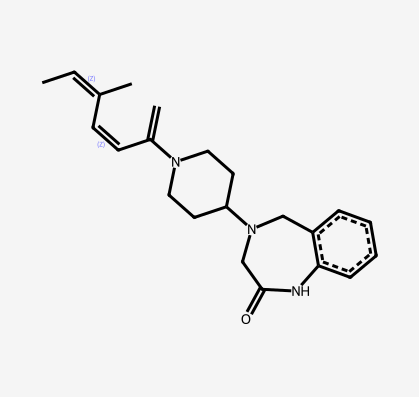 C=C(/C=C\C(C)=C/C)N1CCC(N2CC(=O)Nc3ccccc3C2)CC1